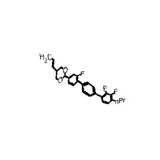 C/C=C/C1COC(c2ccc(-c3ccc(-c4ccc(CCC)c(F)c4F)cc3)c(F)c2)OC1